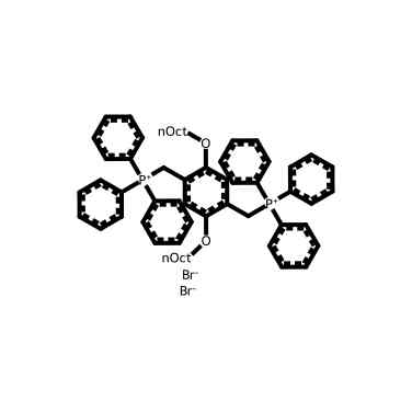 CCCCCCCCOc1cc(C[P+](c2ccccc2)(c2ccccc2)c2ccccc2)c(OCCCCCCCC)cc1C[P+](c1ccccc1)(c1ccccc1)c1ccccc1.[Br-].[Br-]